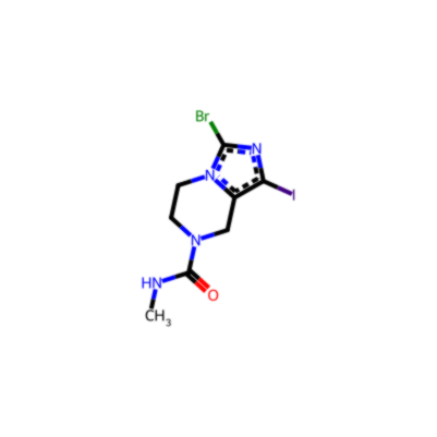 CNC(=O)N1CCn2c(Br)nc(I)c2C1